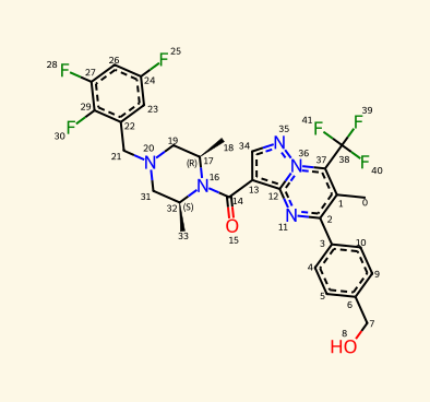 Cc1c(-c2ccc(CO)cc2)nc2c(C(=O)N3[C@H](C)CN(Cc4cc(F)cc(F)c4F)C[C@@H]3C)cnn2c1C(F)(F)F